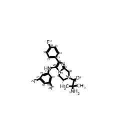 CC(C)(N)C(=O)N1CCn2c(nc(-c3ccc(F)cc3)c2Nc2cc(F)cc(F)c2)C1